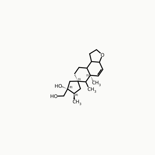 CC1[C@@]2(CCC3C4CCOC4C=C[C@]31C)C[C@@H](C)[C@@](O)(CO)C2